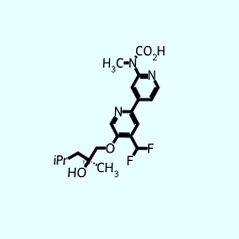 CC(C)C[C@](C)(O)COc1cnc(-c2ccnc(N(C)C(=O)O)c2)cc1C(F)F